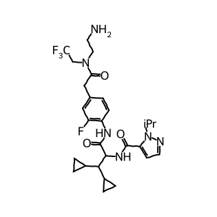 CC(C)n1nccc1C(=O)NC(C(=O)Nc1ccc(CC(=O)N(CCN)CC(F)(F)F)cc1F)C(C1CC1)C1CC1